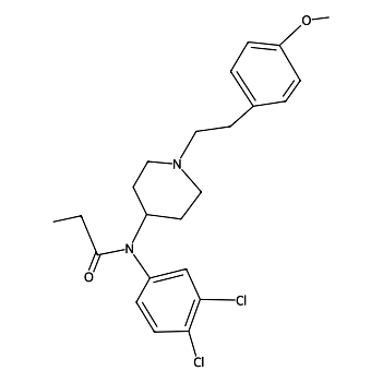 CCC(=O)N(c1ccc(Cl)c(Cl)c1)C1CCN(CCc2ccc(OC)cc2)CC1